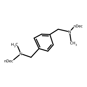 CCCCCCCCCCN(C)Cc1ccc(CN(C)CCCCCCCCCC)cc1